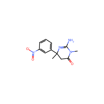 CN1C(=O)CC(C)(c2cccc([N+](=O)[O-])c2)N=C1N